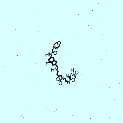 O=C(CN1CCOCC1)Nc1cc(F)c2c(c1)CC(CNCCC1CN(c3cnc4c(n3)NC(=O)CO4)C(=O)O1)C2